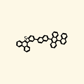 c1ccc2c(-c3c4ccccc4c(-c4ccc5cc(-c6ccc7sc8c9ccccc9c9ccccc9c8c7c6)ccc5c4)c4ccccc34)cccc2c1